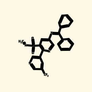 C=NS(=O)(=O)c1cc(N=C(c2ccccc2)c2ccccc2)cnc1-c1cncc(C(F)(F)F)c1